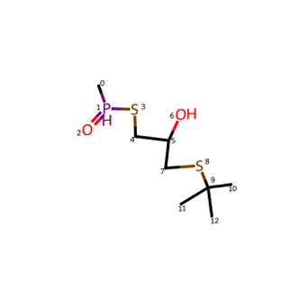 C[PH](=O)SCC(O)CSC(C)(C)C